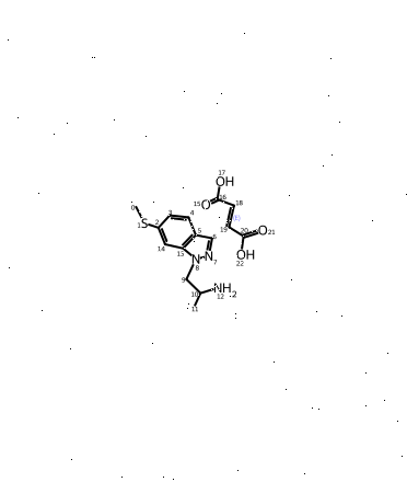 CSc1ccc2cnn(CC(C)N)c2c1.O=C(O)/C=C/C(=O)O